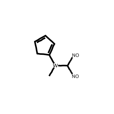 [CH3][W]([C]1=CC=CC1)[CH](N=O)N=O